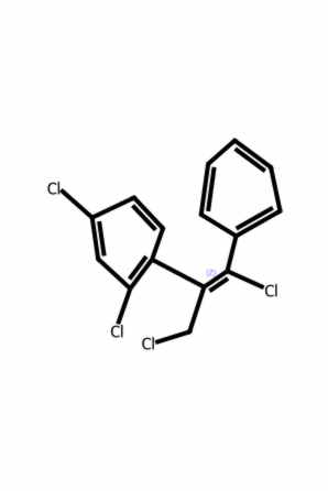 ClC/C(=C(\Cl)c1ccccc1)c1ccc(Cl)cc1Cl